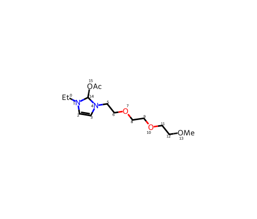 CCN1C=CN(CCOCCOCCOC)C1OC(C)=O